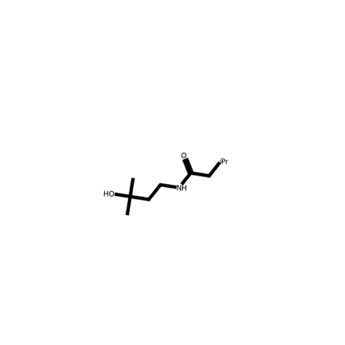 CC(C)CC(=O)NCCC(C)(C)O